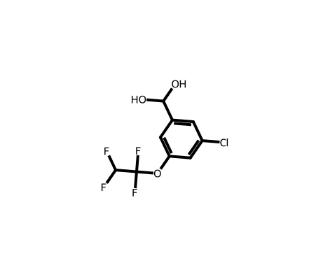 OC(O)c1cc(Cl)cc(OC(F)(F)C(F)F)c1